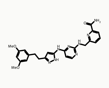 COc1cc(CCc2cc(Nc3ccnc(NCc4cccc(C(N)=O)n4)n3)[nH]n2)cc(OC)c1